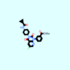 COC(=O)c1cccc(-n2c(=O)n([C@H]3CC[C@@H](NC(=O)C4CC4)CC3)c(=O)c3cc(F)cnc32)c1